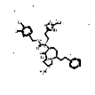 Cc1nnc(CC[C@H](C(=O)NCc2ccc(Cl)c(Cl)c2)N2CCC(CCc3ccccc3)N3C[C@H](N)C[C@H]3C2=O)[nH]1